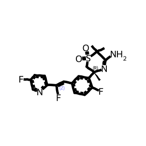 CC1(C)C(N)=N[C@](C)(c2cc(/C=C(\F)c3ccc(F)cn3)ccc2F)CS1(=O)=O